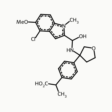 COc1ccc2c(cc(C(O)NC3(c4ccc(C(C)C(=O)O)cc4)CCOC3)n2C)c1Cl